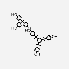 CC(C)(c1ccc(O)cc1)c1cc(C(C)(C)c2ccc(O)cc2)cc(C(C)(C)c2ccc(O)cc2)c1.CC(c1ccc(O)cc1)(c1ccc(O)cc1)c1ccc(O)cc1